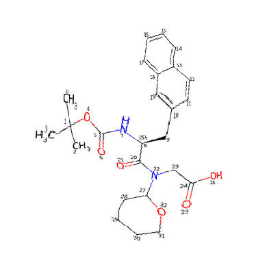 CC(C)(C)OC(=O)N[C@@H](Cc1ccc2ccccc2c1)C(=O)N(CC(=O)O)C1CCCCO1